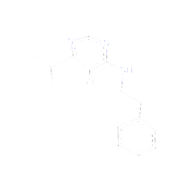 CC(Cl)c1ncnc(NCCc2ccccc2)c1Cl